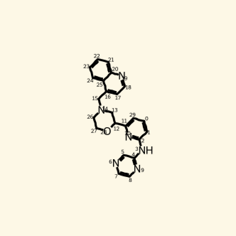 c1cc(Nc2cnccn2)nc(C2CN(Cc3ccnc4ccccc34)CCO2)c1